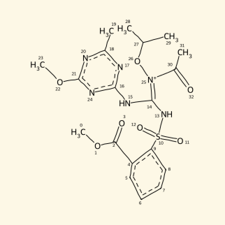 COC(=O)c1ccccc1S(=O)(=O)NC(Nc1nc(C)nc(OC)n1)=[N+](OC(C)C)C(C)=O